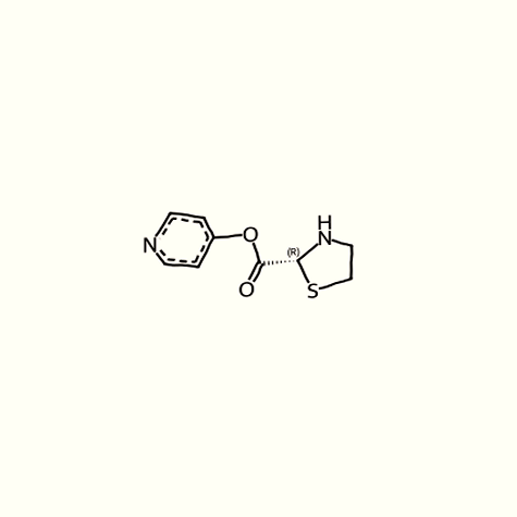 O=C(Oc1ccncc1)[C@@H]1NCCS1